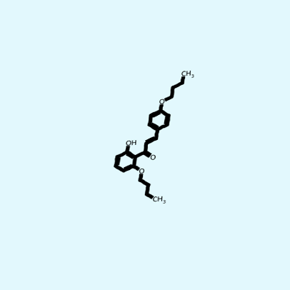 CCCCOc1ccc(/C=C/C(=O)c2c(O)cccc2OCCCC)cc1